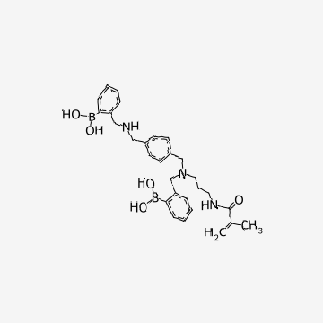 C=C(C)C(=O)NCCCN(Cc1ccc(CNCc2ccccc2B(O)O)cc1)Cc1ccccc1B(O)O